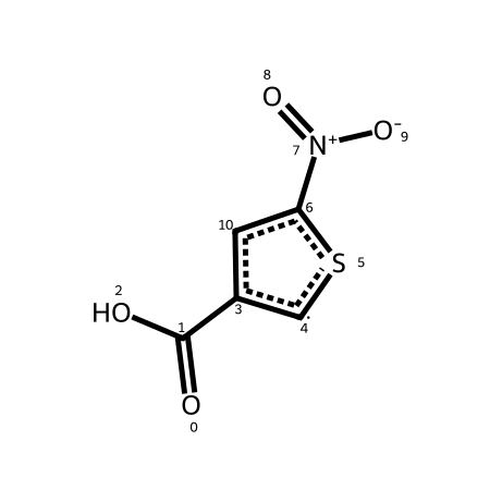 O=C(O)c1[c]sc([N+](=O)[O-])c1